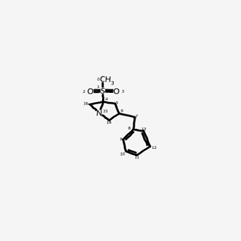 CS(=O)(=O)C12CC(Cc3ccccc3)CN1C2